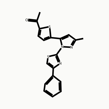 CC(=O)c1ccc(-c2cc(C)nn2-c2nc(-c3ccccc3)cs2)s1